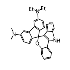 CCN(CC)c1ccc2c(c1)-c1cc(N(C)C)ccc1C21Oc2ccccc2-c2[nH]c3ccccc3c21